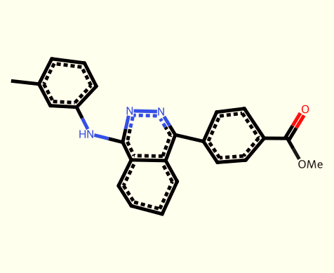 COC(=O)c1ccc(-c2nnc(Nc3cccc(C)c3)c3ccccc23)cc1